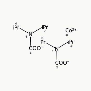 CC(C)N(C(=O)[O-])C(C)C.CC(C)N(C(=O)[O-])C(C)C.[Co+2]